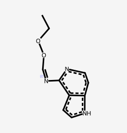 CCOO/C=N\c1nccc2[nH]ccc12